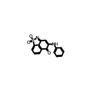 O=C1C(Nc2ccccc2)=CC2=NS(=O)(=O)c3cccc1c32